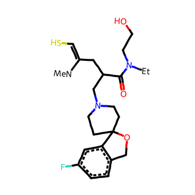 CCN(CCO)C(=O)C(C/C(=C/S)NC)CN1CCC2(CC1)OCc1ccc(F)cc12